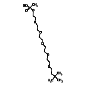 CC(C)(C)CCOCCOCCOCCOCCOCCOP(C)(=O)O